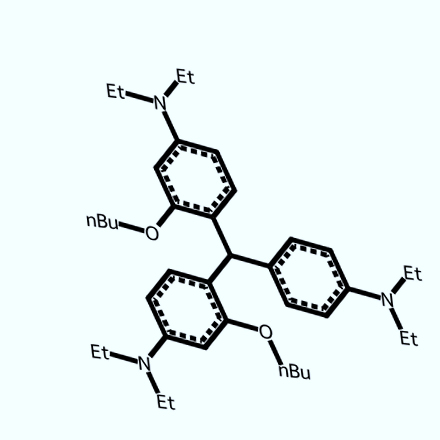 CCCCOc1cc(N(CC)CC)ccc1C(c1ccc(N(CC)CC)cc1)c1ccc(N(CC)CC)cc1OCCCC